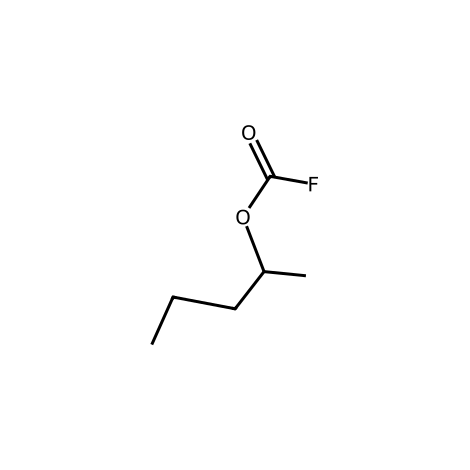 CCCC(C)OC(=O)F